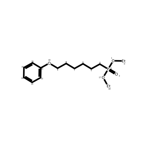 CCOP(=O)(CCCCCCOc1cc[c]cc1)OCC